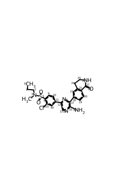 CCCN(C)S(=O)(=O)c1ccc(-c2cnc(N)c(-c3ccc4c(c3)CCNC4=O)n2)cc1Cl